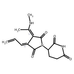 C=C/C=C1/C(=O)N(C2CCC(=O)NC2=O)C(=O)/C1=C(/C)NC